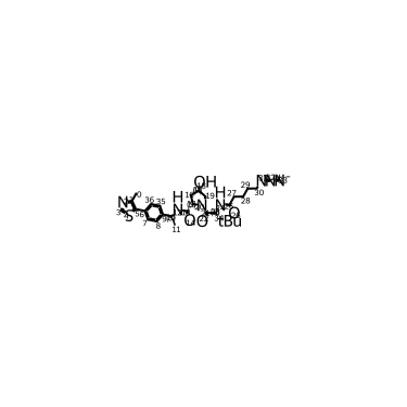 Cc1ncsc1-c1ccc([C@H](C)NC(=O)[C@@H]2C[C@@H](O)CN2C(=O)[C@@H](NC(=O)CCCCN=[N+]=[N-])C(C)(C)C)cc1